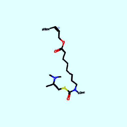 CCCCCC/C=C\COC(=O)CCCCCCCN(CCCCCCCCCC)C(=O)SCC(C)N(C)C